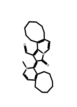 CN1C=CC2=C(CCCCCCC2)/C1=C1\C(=O)N2C=CC3=C(CCCCCCC3)C2=C1C=O